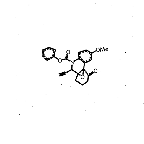 C#CC1N(C(=O)Oc2ccccc2)c2ccc(OC)cc2C23OC12CCCC3=O